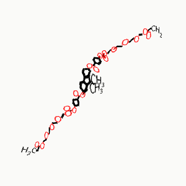 C=CC(=O)OCCOCCOCCOCCOC(=O)Oc1ccc(C(=O)Oc2ccc3c(c2)C(C)(C)c2cc(OC(=O)c4ccc(OC(=O)OCCOCCOCCOCCOC(=O)C=C)cc4)ccc2-3)cc1